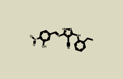 N#Cc1c(Nc2ccccc2CI)n[nH]c1/N=C/c1ccc([N+](=O)[O-])c(O)c1